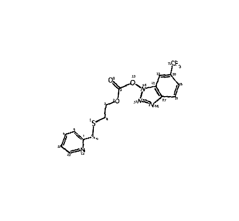 O=C(OCCSSc1ccccn1)On1nnc2ccc(C(F)(F)F)cc21